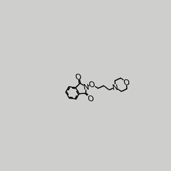 O=C1c2ccccc2C(=O)N1OCCCN1CCOCC1